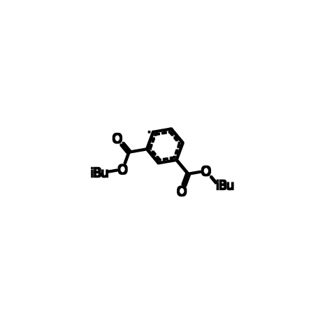 CCC(C)OC(=O)c1[c]ccc(C(=O)OC(C)CC)c1